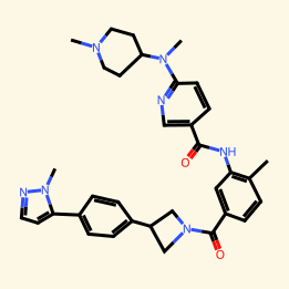 Cc1ccc(C(=O)N2CC(c3ccc(-c4ccnn4C)cc3)C2)cc1NC(=O)c1ccc(N(C)C2CCN(C)CC2)nc1